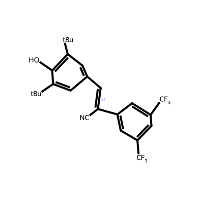 CC(C)(C)c1cc(/C=C(\C#N)c2cc(C(F)(F)F)cc(C(F)(F)F)c2)cc(C(C)(C)C)c1O